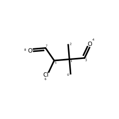 CC(C)([C]=O)C(Cl)C=O